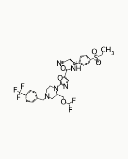 CCS(=O)(=O)c1ccc([C@H](CC#N)NC(=O)c2cnc(N3CCN(Cc4ccc(C(F)(F)F)cc4)CC3COC(F)F)o2)cc1